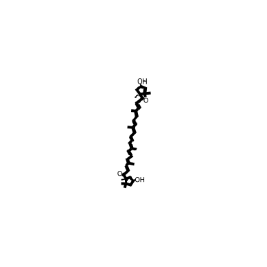 CC(/C=C/C=C(C)/C=C/C(=O)[C@]1(C)C[C@@H](O)CC1(C)C)=C\C=C\C=C(C)\C=C\C=C(C)\C=C\C(=O)[C@]1(C)C[C@@H](O)CC1(C)C